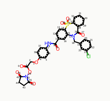 O=C(COc1ccc(NC(=O)c2ccc3c(c2)N(Cc2cccc(Cl)c2)C(=O)c2ccccc2S3(=O)=O)cc1)ON1C(=O)CCC1=O